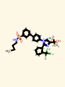 CCCCNS(=O)(=O)c1cccc(-c2ccc(-n3cc(C(C)(C)O)nc3-c3ccccc3C(F)(F)F)cc2)c1